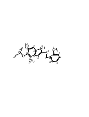 Cc1cccnc1CSc1nc2c(C)c(OC(F)F)c(C)cc2[nH]1